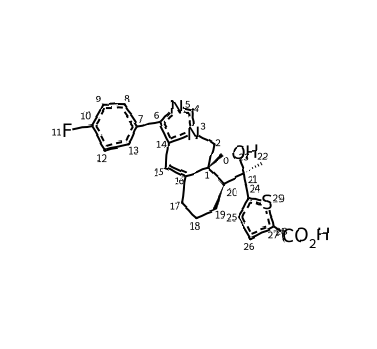 C[C@]12Cn3cnc(-c4ccc(F)cc4)c3C=C1CCC[C@@H]2[C@@](C)(O)c1ccc(C(=O)O)s1